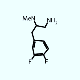 CNC(CN)Cc1ccc(F)c(F)c1